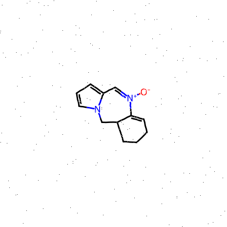 [O-][N+]1=Cc2cccn2CC2CCCC=C21